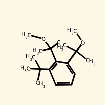 COC(C)(C)c1cccc(C(C)(C)C)c1C(C)(C)OC